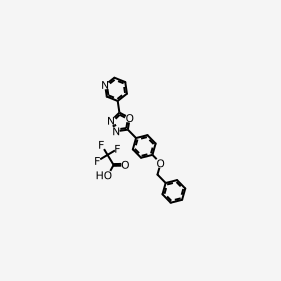 O=C(O)C(F)(F)F.c1ccc(COc2ccc(-c3nnc(-c4cccnc4)o3)cc2)cc1